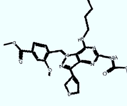 CCCCNc1nc(NC(=O)OC)nc2c(C3=CCOC3)nn(Cc3ccc(C(=O)OC)cc3OC)c12